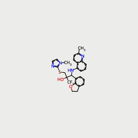 Cc1ccc2c(NC(c3cccc4c3OCC4)C(O)(CSc3nccn3C)C(F)(F)F)cccc2n1